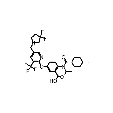 CC(C)N(c1ccc(Oc2ncc(CN3CCC(F)(F)C3)cc2C(F)(F)F)cc1C(=O)O)C(=O)[C@H]1CC[C@H](C)CC1